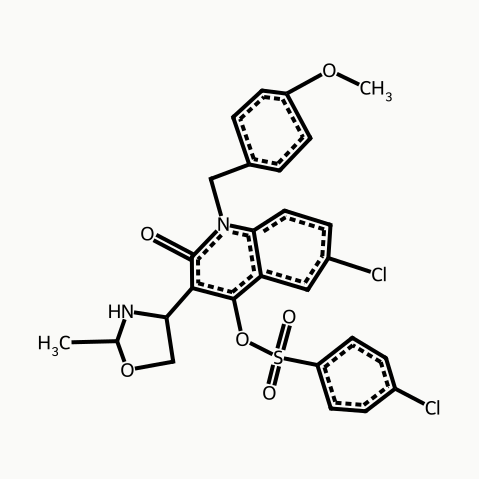 COc1ccc(Cn2c(=O)c(C3COC(C)N3)c(OS(=O)(=O)c3ccc(Cl)cc3)c3cc(Cl)ccc32)cc1